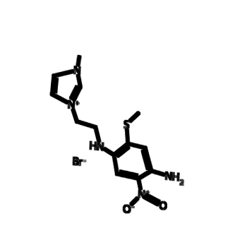 CSc1cc(N)c([N+](=O)[O-])cc1NCC[n+]1ccn(C)c1.[Br-]